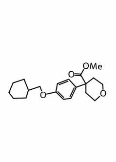 COC(=O)C1(c2ccc(OCC3CCCCC3)cc2)CCOCC1